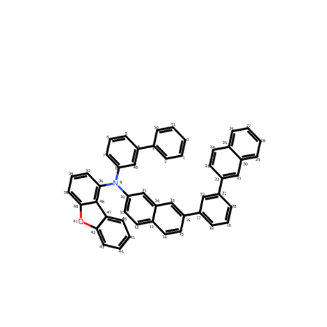 c1ccc(-c2cccc(N(c3ccc4ccc(-c5cccc(-c6ccc7ccccc7c6)c5)cc4c3)c3cccc4oc5ccccc5c34)c2)cc1